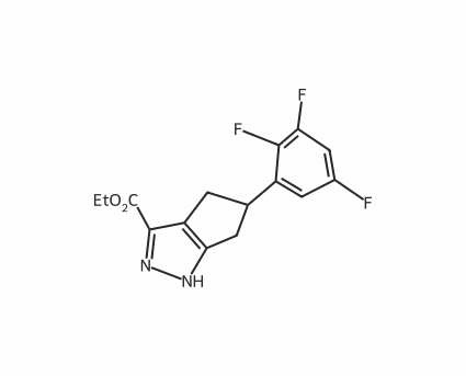 CCOC(=O)c1n[nH]c2c1CC(c1cc(F)cc(F)c1F)C2